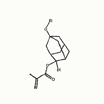 C=C(C)C(=O)OC1(CC)C2CC3CC1CC(OCC)(C3)C2